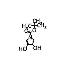 CC(C)(C)OC(=O)N1C=C(O)C(O)C1